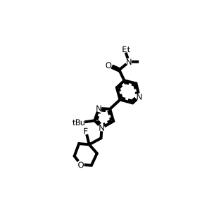 CCN(C)C(=O)c1cncc(-c2cn(CC3(F)CCOCC3)c(C(C)(C)C)n2)c1